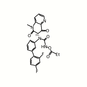 CCC(=O)ONC(=O)N(c1cccc(-c2ccc(F)cc2F)c1)[C@H]1C(=O)c2ncccc2N(C)C1=O